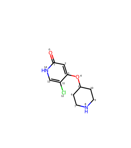 O=c1cc(OC2CCNCC2)c(Cl)c[nH]1